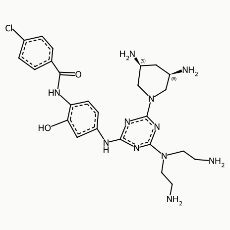 NCCN(CCN)c1nc(Nc2ccc(NC(=O)c3ccc(Cl)cc3)c(O)c2)nc(N2C[C@H](N)C[C@H](N)C2)n1